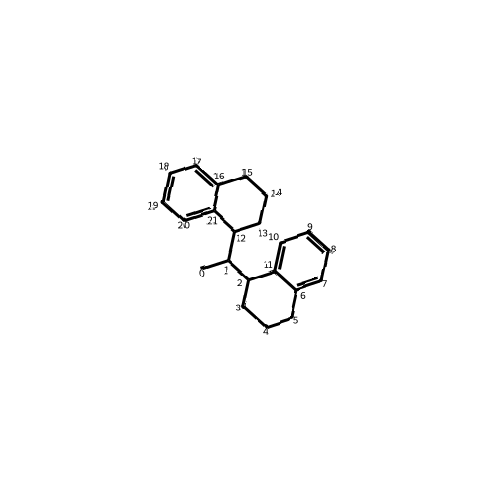 CC(C1CCCc2ccccc21)C1CCCc2ccccc21